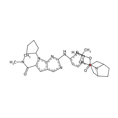 CN(C)C(=O)c1cc2cnc(Nc3ccc(N4CC5CCC(C4)N5C(=O)OC(C)(C)C)cn3)nc2n1C1CCCC1